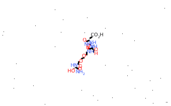 CC(O)[C@H](NC(=O)N[C@@H](CCC(=O)O)C(N)=O)C(=O)NCCOCCOCC(=O)N[C@@H](CO)C(N)=O